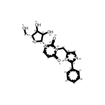 O=c1ccn([C@@H]2O[C@H](CO)C(O)C2O)c(=O)n1Cc1cnc(-c2ccccc2)o1